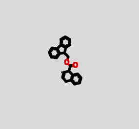 O=C(OCC1c2ccccc2-c2ccccc21)C1[C]=CCc2ccccc21